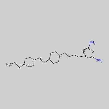 CCCC1CCC(/C=C/C2CCC(CCCCc3cc(N)cc(N)c3)CC2)CC1